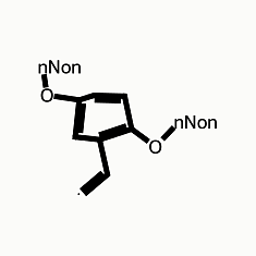 [CH]=Cc1cc(OCCCCCCCCC)[c]cc1OCCCCCCCCC